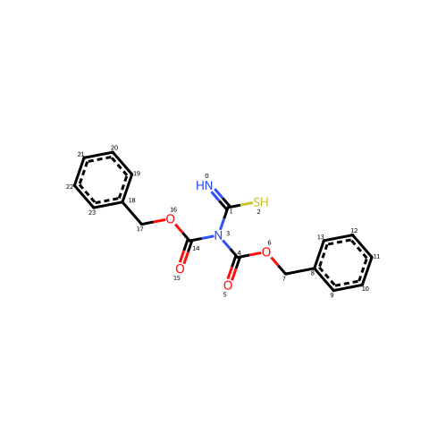 N=C(S)N(C(=O)OCc1ccccc1)C(=O)OCc1ccccc1